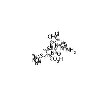 Cn1nnnc1SCC1=C(C(=O)O)N2C(=O)C(N(C(=O)C=C(Cl)Cl)c3csc(N)n3)[C@@H]2SC1